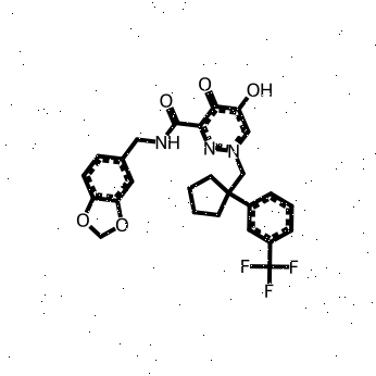 O=C(NCc1ccc2c(c1)OCO2)c1nn(CC2(c3cccc(C(F)(F)F)c3)CCCC2)cc(O)c1=O